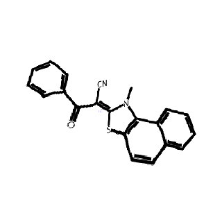 CN1/C(=C(\C#N)C(=O)c2ccccc2)Sc2ccc3ccccc3c21